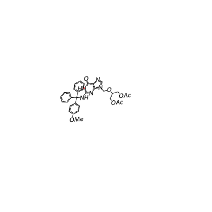 COc1ccc(C(Nc2nc3c(ncn3COC(COC(C)=O)COC(C)=O)c(=O)[nH]2)(c2ccccc2)c2ccccc2)cc1